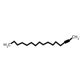 [CH2]C#CCCCCCCCCCCCC[CH2]